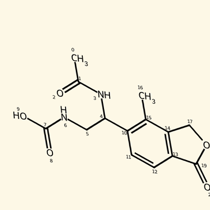 CC(=O)NC(CNC(=O)O)c1ccc2c(c1C)COC2=O